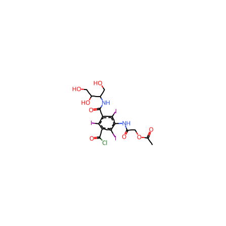 CC(=O)OCC(=O)Nc1c(I)c(C(=O)Cl)c(I)c(C(=O)NC(CO)C(O)CO)c1I